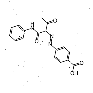 CC(=O)C(N=Nc1ccc(C(=O)O)cc1)C(=O)Nc1ccccc1